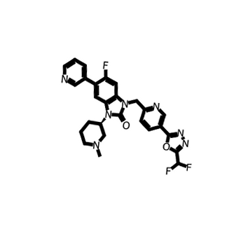 CN1CCC[C@@H](n2c(=O)n(Cc3ccc(-c4nnc(C(F)F)o4)cn3)c3cc(F)c(-c4cccnc4)cc32)C1